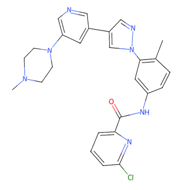 Cc1ccc(NC(=O)c2cccc(Cl)n2)cc1-n1cc(-c2cncc(N3CCN(C)CC3)c2)cn1